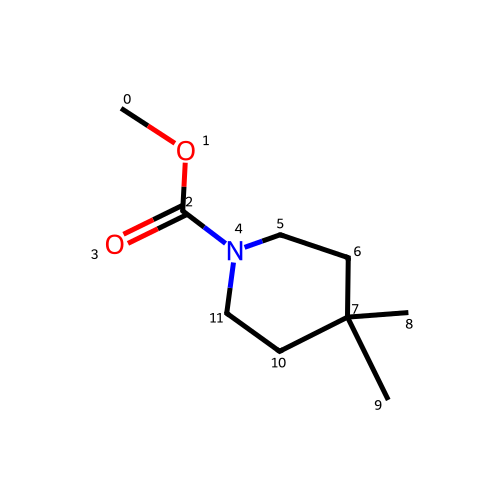 COC(=O)N1CCC(C)(C)CC1